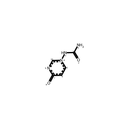 NC(=O)Nn1ccc(=O)nc1